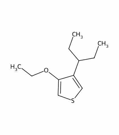 CCOc1cscc1C(CC)CC